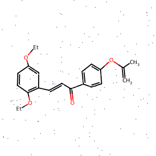 C=C(C)Oc1ccc(C(=O)/C=C/c2cc(OCC)ccc2OCC)cc1